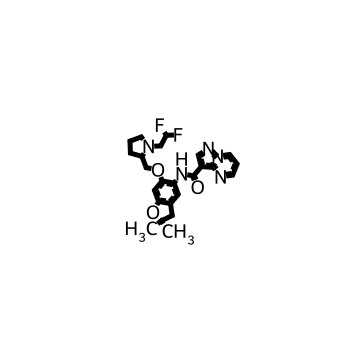 CC1(C)Cc2cc(NC(=O)c3cnn4cccnc34)c(OCC3CCCN3CC(F)F)cc2O1